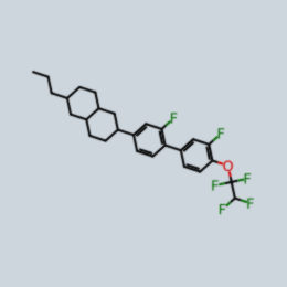 CCCC1CCC2CC(c3ccc(-c4ccc(OC(F)(F)C(F)F)c(F)c4)c(F)c3)CCC2C1